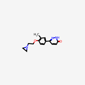 Cc1cc(-c2ccc(=O)[nH]n2)ccc1OCCN1CC1